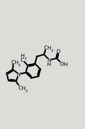 Cc1c(CC(C)NC(=O)O)cccc1-n1c(C)ccc1C